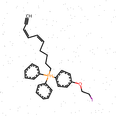 C#C/C=C\C=C/CCCC[PH](c1ccccc1)(c1ccccc1)c1ccc(OCCI)cc1